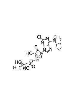 CN(c1nc(Cl)nc2c1ncn2[C@@H]1O[C@H](COP(=O)(O)CP(C)(=O)O)[C@@H](O)[C@@H]1F)C1CCCC1